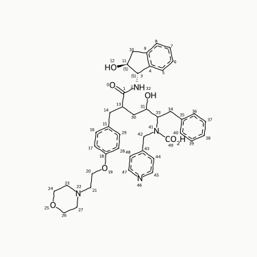 O=C(N[C@H]1c2ccccc2C[C@@H]1O)C(Cc1ccc(OCCN2CCOCC2)cc1)CC(O)C(Cc1ccccc1)N(Cc1ccncc1)C(=O)O